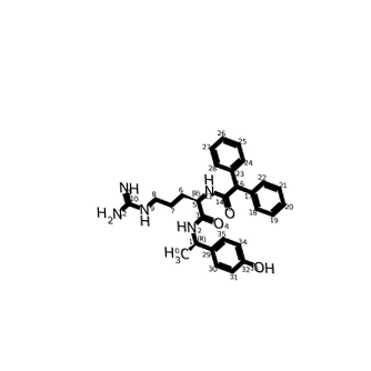 C[C@@H](NC(=O)[C@@H](CCCNC(=N)N)NC(=O)C(c1ccccc1)c1ccccc1)c1ccc(O)cc1